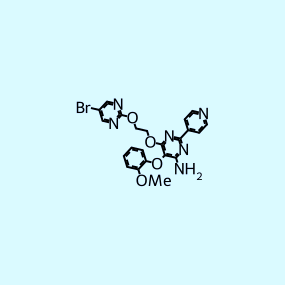 COc1ccccc1Oc1c(N)nc(-c2ccncc2)nc1OCCOc1ncc(Br)cn1